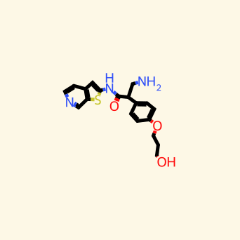 NCC(C(=O)Nc1cc2ccncc2s1)c1ccc(OCCCO)cc1